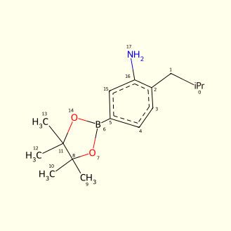 CC(C)Cc1ccc(B2OC(C)(C)C(C)(C)O2)cc1N